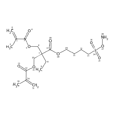 C=C(C)C(=O)OCC(CC)(COC(=O)C(=C)C)C(=O)OCCCCS(=O)(=O)ON